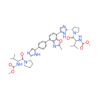 COC(=O)N[C@H](C(=O)N1CCC[C@H]1c1ncc(-c2ccc(-c3ccc(-c4cnc([C@@H]5CCCN5C(=O)[C@@H](NC(=O)OC)C(C)C)[nH]4)c4oc(C)nc34)cc2)[nH]1)C(C)C